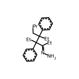 CCC(=NN)C(CC)(c1ccccc1)C(CC)(CC(C)C)c1ccccc1